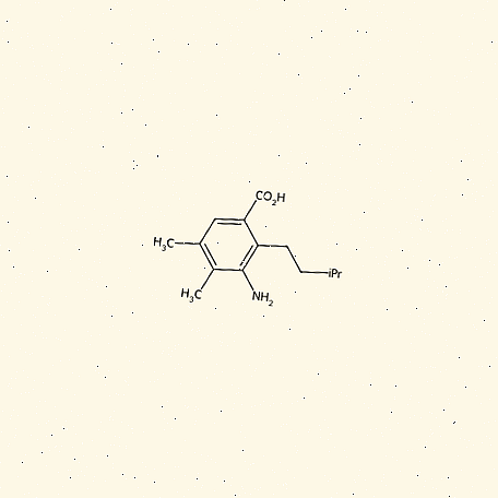 Cc1cc(C(=O)O)c(CCC(C)C)c(N)c1C